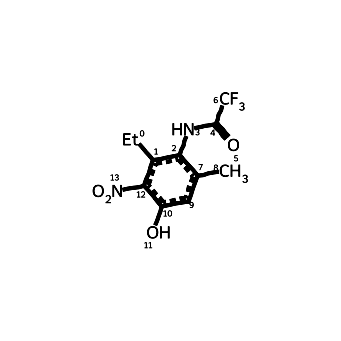 CCc1c(NC(=O)C(F)(F)F)c(C)cc(O)c1[N+](=O)[O-]